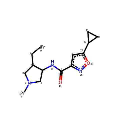 CC(C)CC1CN(C(C)C)CC1NC(=O)c1cc(C2CC2)on1